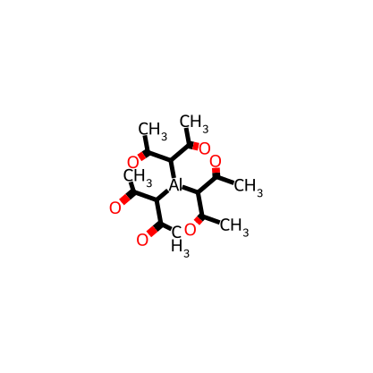 CC(=O)[CH](C(C)=O)[Al]([CH](C(C)=O)C(C)=O)[CH](C(C)=O)C(C)=O